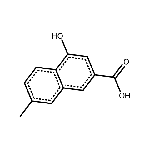 Cc1ccc2c(O)cc(C(=O)O)cc2c1